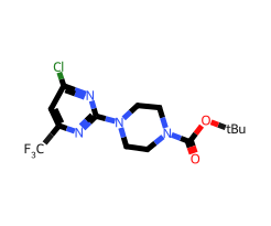 CC(C)(C)OC(=O)N1CCN(c2nc(Cl)cc(C(F)(F)F)n2)CC1